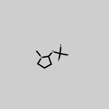 CN1CC[CH]C1OC(F)(F)F